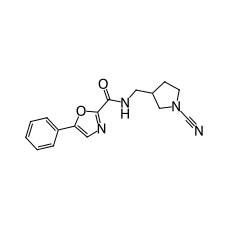 N#CN1CCC(CNC(=O)c2ncc(-c3ccccc3)o2)C1